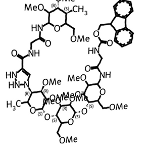 COCC1OC(NC(=O)CNC(=O)C2=CN([C@@H]3C(C)O[C@@H](O[C@H]4C(COC)O[C@@H](O[C@H]5C(COC)OC(NC(=O)CNC(=O)OCC6c7ccccc7-c7ccccc76)C(OC)[C@@H]5OC)C(OC)[C@@H]4OC)C(OC)[C@@H]3OC)NN2)C(OC)[C@H](OC)[C@H]1C